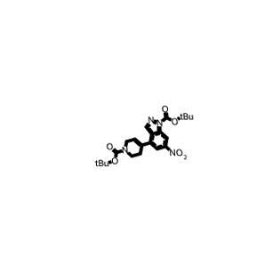 CC(C)(C)OC(=O)N1CC=C(c2cc([N+](=O)[O-])cc3c2cnn3C(=O)OC(C)(C)C)CC1